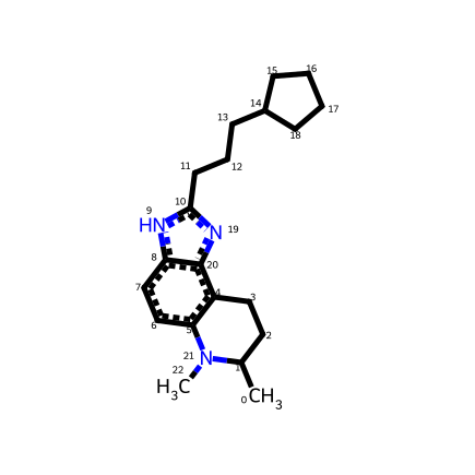 CC1CCc2c(ccc3[nH]c(CCCC4CCCC4)nc23)N1C